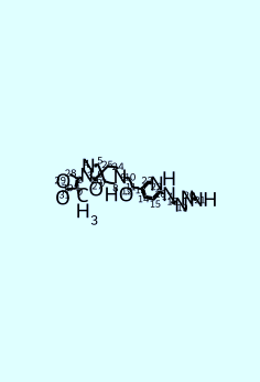 CC1=C(N2N=CC3(CCN(C[C@@H](O)c4ccc(N/C=N\N=N)nc4)CC3)C2=O)COC1=O